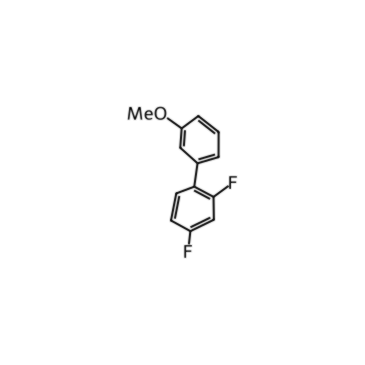 COc1cccc(-c2ccc(F)cc2F)c1